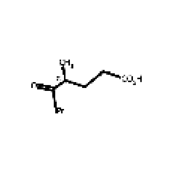 CC(C)C(=O)[C@@H](C)CCC(=O)O